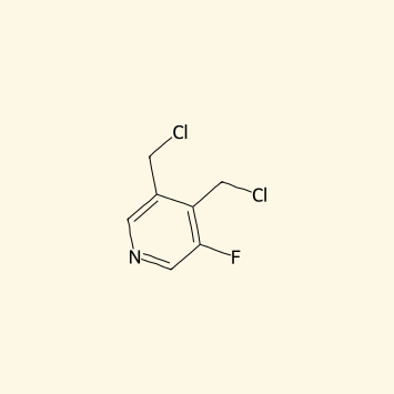 Fc1cncc(CCl)c1CCl